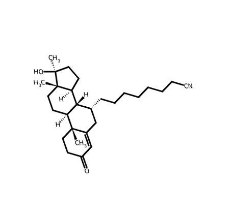 C[C@]12CCC(=O)C=C1C[C@@H](CCCCCCCC#N)[C@@H]1[C@@H]2CC[C@@]2(C)[C@H]1CC[C@]2(C)O